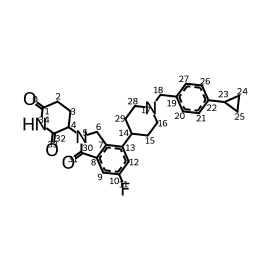 O=C1CCC(N2Cc3c(cc(F)cc3C3CCN(Cc4ccc(C5CC5)cc4)CC3)C2=O)C(=O)N1